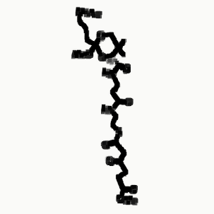 COC(=O)CCC(=O)CC(=O)SCCNC(=O)CCNC(=O)[C@@H]1OC(CCCNC(C)=O)(OC)OCC1(C)C